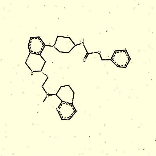 CN(CC[C@H]1Cc2c(cccc2N2CCC(NC(=O)OCc3ccccc3)CC2)CN1)[C@H]1CCCc2cccnc21